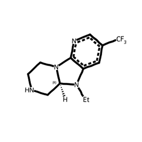 CCN1c2cc(C(F)(F)F)cnc2N2CCNC[C@H]12